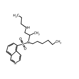 CCCCCCN(C(C)CNCCC)S(=O)(=O)c1cccc2cnccc12